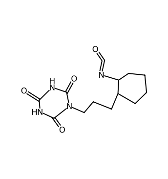 O=C=NC1CCCCC1CCCn1c(=O)[nH]c(=O)[nH]c1=O